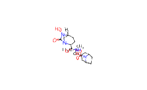 CC(C)(C)OC(=O)N1C2CCC1CC(ONC(=O)[C@@H]1CC[C@@H]3CN1C(=O)N3O)C2